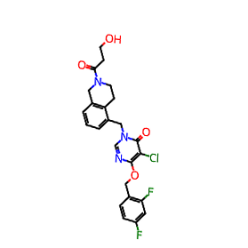 O=C(CCO)N1CCc2c(cccc2Cn2cnc(OCc3ccc(F)cc3F)c(Cl)c2=O)C1